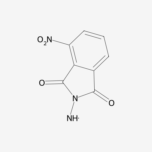 [NH]N1C(=O)c2cccc([N+](=O)[O-])c2C1=O